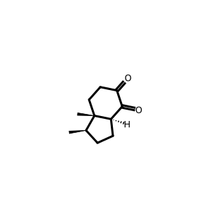 C[C@@H]1CC[C@@H]2C(=O)C(=O)CC[C@@]12C